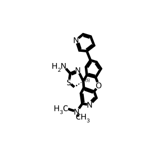 CN(C)c1cc2c(cn1)Oc1ccc(-c3cccnc3)cc1[C@@]21CSC(N)=N1